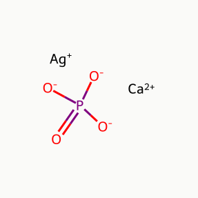 O=P([O-])([O-])[O-].[Ag+].[Ca+2]